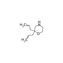 C=CCC1(CC=C)CNCCO1